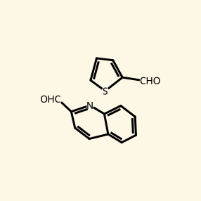 O=Cc1ccc2ccccc2n1.O=Cc1cccs1